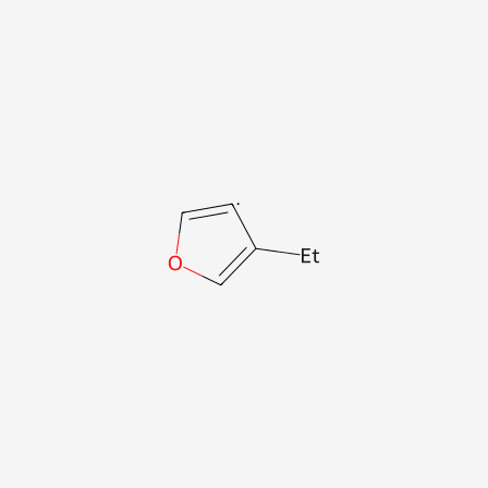 CCc1[c]coc1